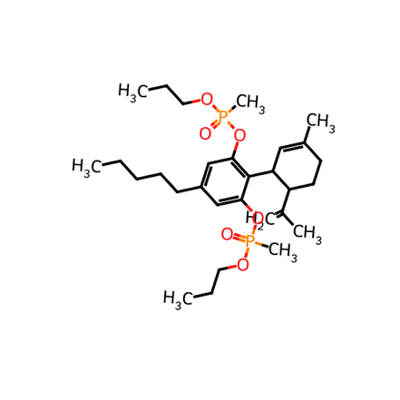 C=C(C)C1CCC(C)=CC1c1c(OP(C)(=O)OCCC)cc(CCCCC)cc1OP(C)(=O)OCCC